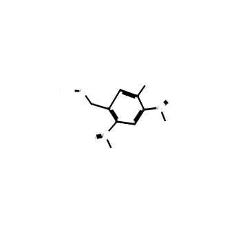 CNCc1cc(F)c([N+](=O)[O-])cc1[N+](=O)[O-]